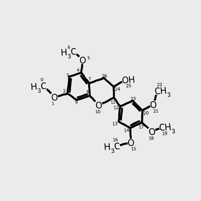 COc1cc(OC)c2c(c1)OC(c1cc(OC)c(OC)c(OC)c1)C(O)C2